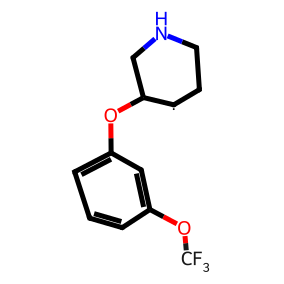 FC(F)(F)Oc1cccc(OC2[CH]CCNC2)c1